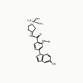 CC(C)Nc1cc(-n2ncc3cc(C#N)cnc32)ncc1C(=O)N[C@H]1CC[C@H](C(C)(C)O)C1